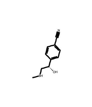 CBC[C@@H](O)c1ccc(C#N)cc1